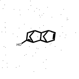 OC1=C2CC(C1)C1C3C=CC(C3)C21